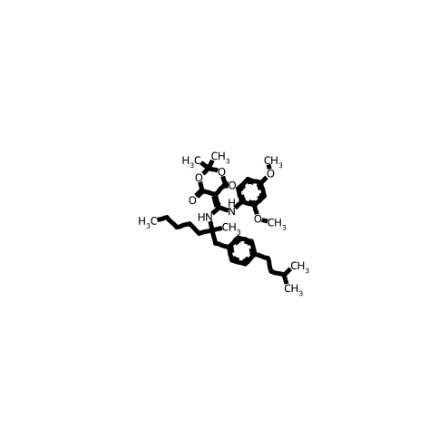 CCCCCC(C)(Cc1ccc(CCC(C)C)cc1)NC(Nc1ccc(OC)cc1OC)=C1C(=O)OC(C)(C)OC1=O